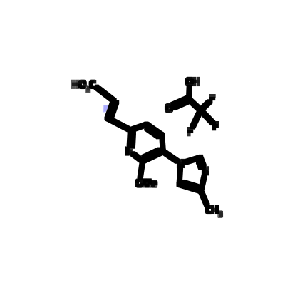 COc1nc(/C=C/C(=O)O)ccc1-n1cnc(C)c1.O=C(O)C(F)(F)F